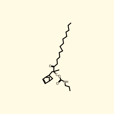 CCCCCCCCCCCCCC(=O)C(C)(COC(=O)NCCC)CC1CC2C=CC1C2